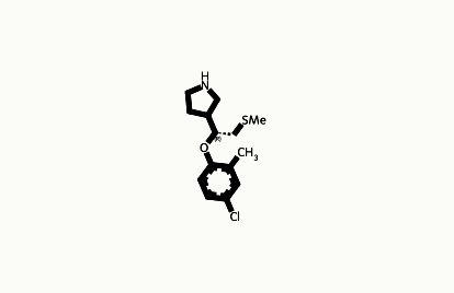 CSC[C@H](Oc1ccc(Cl)cc1C)C1CCNC1